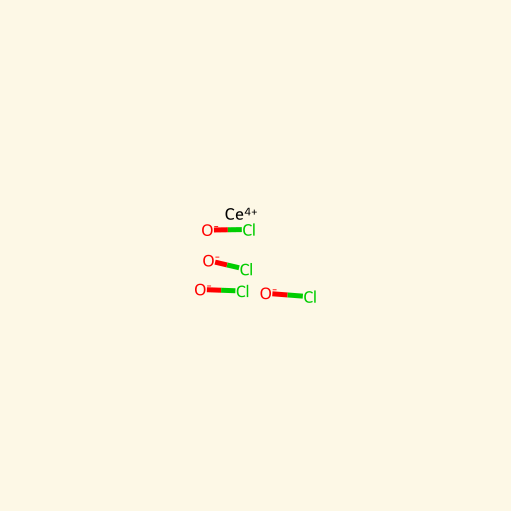 [Ce+4].[O-]Cl.[O-]Cl.[O-]Cl.[O-]Cl